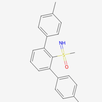 Cc1ccc(-c2cccc(-c3ccc(C)cc3)c2S(C)(=N)=O)cc1